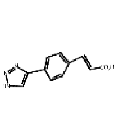 O=C(O)C=Cc1ccc(-c2c[nH]nn2)cc1